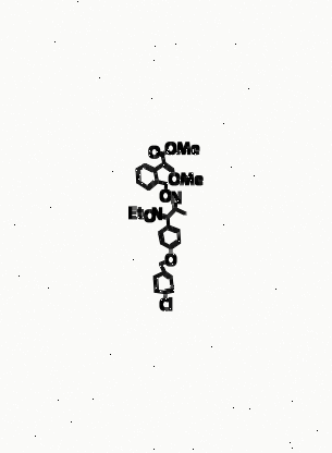 CCON=C(C(C)=NOCc1ccccc1C(=COC)C(=O)OC)c1ccc(OCc2ccc(Cl)cc2)cc1